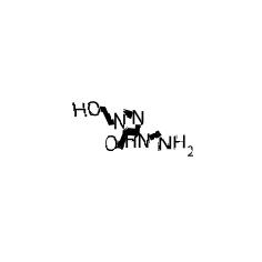 NCNc1ncn(CCO)c1C=O